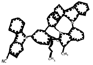 C=C/C=C\c1c(C)c2cccc(-n3c4ccccc4c4ccccc43)c2n1-c1ccccc1-c1cc(-n2c3ccccc3c3cc(C#N)ccc32)ccc1C#N